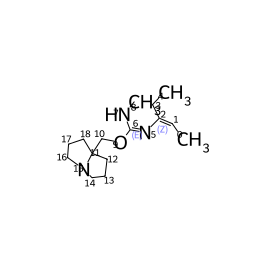 C/C=C(CC)\N=C(/NC)OCC12CCCN1CCC2